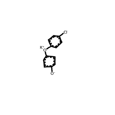 [K+].[O-]c1ccc(Oc2ccc(Cl)cc2)cc1